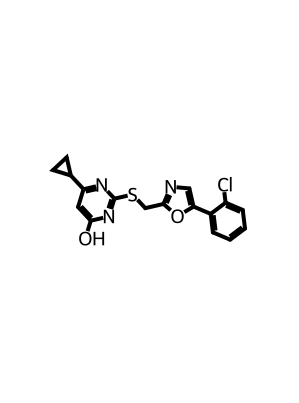 Oc1cc(C2CC2)nc(SCc2ncc(-c3ccccc3Cl)o2)n1